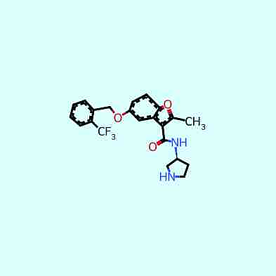 Cc1oc2ccc(OCc3ccccc3C(F)(F)F)cc2c1C(=O)N[C@H]1CCNC1